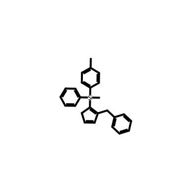 Cc1ccc([Si](C)(C2=C(Cc3ccccc3)C=CC2)c2ccccc2)cc1